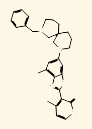 Cc1cc(N2CCCC3(CCCN(Cc4ccccc4)C3)C2)cc2[nH]c(-c3c(Cl)cc[nH]c3=O)nc12